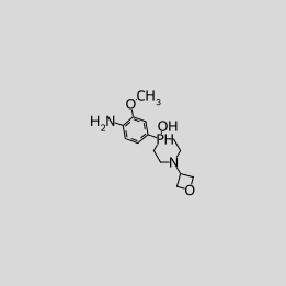 COc1cc([PH]2(O)CCN(C3COC3)CC2)ccc1N